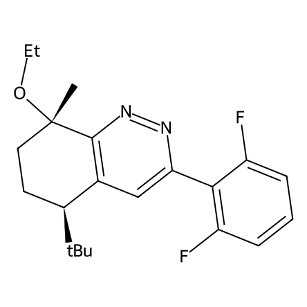 CCO[C@@]1(C)CC[C@H](C(C)(C)C)c2cc(-c3c(F)cccc3F)nnc21